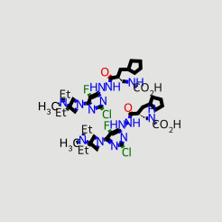 CCN(C)C1(CC)CN(c2nc(Cl)nc(NNC(=O)[C@@H](CNC(=O)O)CC3CCCC3)c2F)C1.CCN(C)C1(CC)CN(c2nc(Cl)nc(NNC(=O)[C@@H](CNC(=O)O)CC3CCCC3)c2F)C1